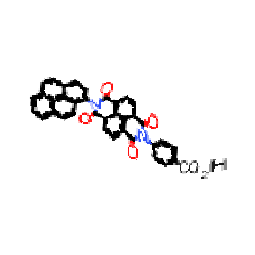 O=C(O)c1ccc(N2C(=O)c3ccc4c5c(ccc(c35)C2=O)C(=O)N(c2ccc3ccc5cccc6ccc2c3c56)C4=O)cc1